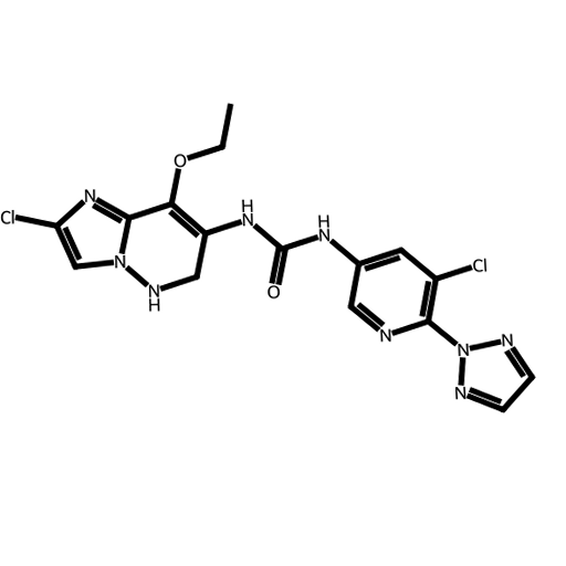 CCOC1=C(NC(=O)Nc2cnc(-n3nccn3)c(Cl)c2)CNn2cc(Cl)nc21